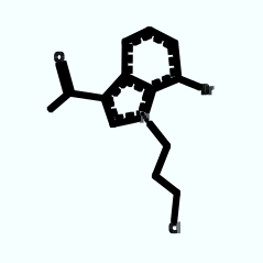 CC(=O)c1cn(CCCCl)c2c(Br)cccc12